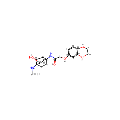 O=C(O)NC12CCC(NC(=O)COc3ccc4c(c3)OCCO4)(CC1)CC2O